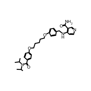 CC(C)N(C(=O)c1ccc(OCCCCCOc2ccc(CNc3ccncc3C(N)=O)cc2)cc1)C(C)C